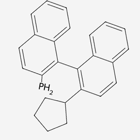 Pc1ccc2ccccc2c1-c1c(C2CCCC2)ccc2ccccc12